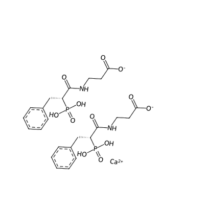 O=C([O-])CCNC(=O)[C@@H](Cc1ccccc1)P(=O)(O)O.O=C([O-])CCNC(=O)[C@@H](Cc1ccccc1)P(=O)(O)O.[Ca+2]